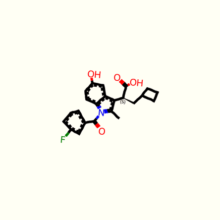 Cc1c([C@H](CC2CCC2)C(=O)O)c2cc(O)ccc2n1C(=O)c1cccc(F)c1